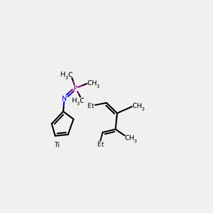 CCC=C(C)C(C)=CCC.CP(C)(C)=NC1=CC=CC1.[Ti]